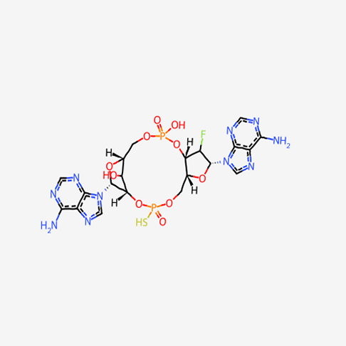 Nc1ncnc2c1ncn2[C@@H]1O[C@@H]2COP(=O)(S)O[C@H]3C(O)[C@@H](COP(=O)(O)O[C@@H]2C1F)O[C@H]3n1cnc2c(N)ncnc21